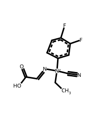 CC[N+](C#N)(N=CC(=O)O)c1ccc(F)c(F)c1